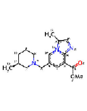 COC(=O)c1cc(CN2CCC[C@H](C)C2)cn2c(C)cnc12